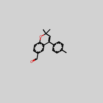 Cc1ccc(C2=CC(C)(C)Oc3ccc(C=O)cc32)cc1